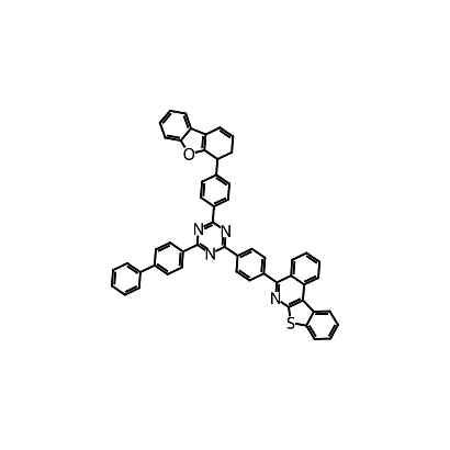 C1=Cc2c(oc3ccccc23)C(c2ccc(-c3nc(-c4ccc(-c5ccccc5)cc4)nc(-c4ccc(-c5nc6sc7ccccc7c6c6ccccc56)cc4)n3)cc2)C1